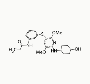 C=CC(=O)Nc1cccc(Sc2cc(OC)c(NC3CCC(O)CC3)nc2OC)c1